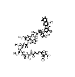 CCc1c2c(nc3ccccc13)-c1cc3c(c(=O)n1C2)COC(=O)[C@@]3(CC)OC(=O)[C@@H](NC(=O)[C@@H]1CCCN1C(=O)[C@H](CC(N)=O)NC(=O)CN(C)CCN(C)CCN(C)CCNC(=O)CCCC(=O)ON1C(=O)CCC1=O)C(C)C